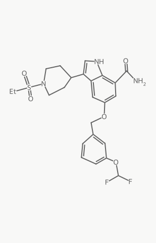 CCS(=O)(=O)N1CCC(c2c[nH]c3c(C(N)=O)cc(OCc4cccc(OC(F)F)c4)cc23)CC1